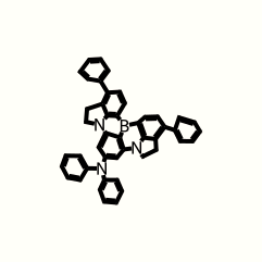 c1ccc(-c2ccc3c4c2CCN4c2cc(N(c4ccccc4)c4ccccc4)cc4c2B3c2ccc(-c3ccccc3)c3c2N4CC3)cc1